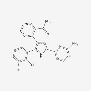 NC(=O)c1ccccc1-c1cc(-c2ccnc(N)n2)[nH]c1-c1cccc(Br)c1Cl